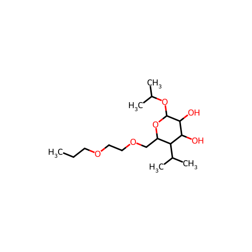 CCCOCCOCC1OC(OC(C)C)C(O)C(O)C1C(C)C